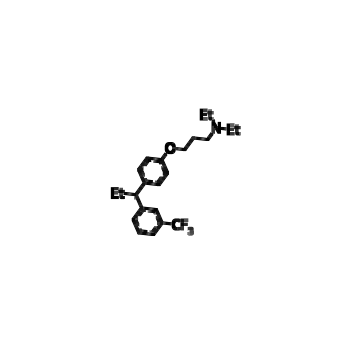 CC[C](c1ccc(OCCCN(CC)CC)cc1)c1cccc(C(F)(F)F)c1